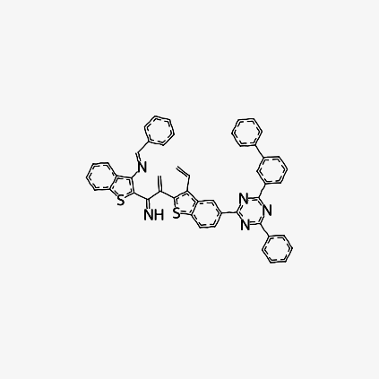 C=Cc1c(C(=C)C(=N)c2sc3ccccc3c2/N=C/c2ccccc2)sc2ccc(-c3nc(-c4ccccc4)nc(-c4cccc(-c5ccccc5)c4)n3)cc12